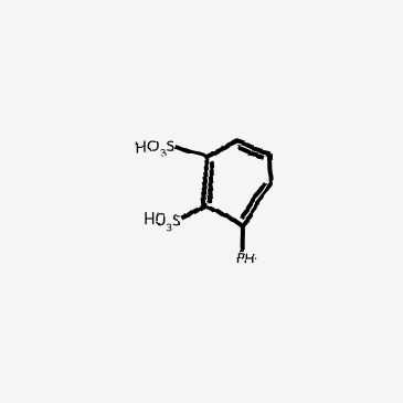 O=S(=O)(O)c1cccc([PH])c1S(=O)(=O)O